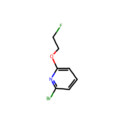 FCCOc1cccc(Br)n1